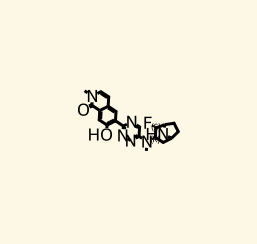 CN(c1cnc(-c2cc3ccn(C)c(=O)c3cc2O)nn1)[C@@H]1CC2CCC(N2)[C@@H]1F